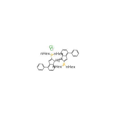 CCCCCCP(CCCCCC)C1=Cc2c(-c3ccccc3)cccc2[CH]1[Hf+2][CH]1C(P(CCCCCC)CCCCCC)=Cc2c(-c3ccccc3)cccc21.[Cl-].[Cl-]